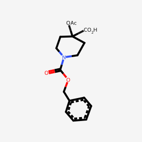 CC(=O)OC1(C(=O)O)CCN(C(=O)OCc2ccccc2)CC1